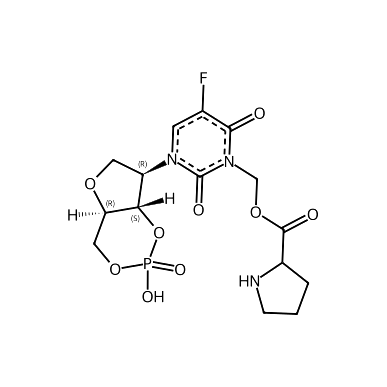 O=C(OCn1c(=O)c(F)cn([C@@H]2CO[C@@H]3COP(=O)(O)O[C@@H]23)c1=O)C1CCCN1